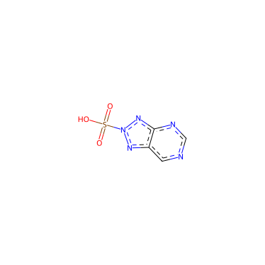 O=S(=O)(O)n1nc2cncnc2n1